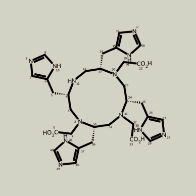 O=C(O)CN1C[C@H](Cc2cnc[nH]2)NC[C@H](Cc2cnc[nH]2)N(CC(=O)O)C[C@H](Cc2cnc[nH]2)N(CC(=O)O)C[C@@H]1Cc1cnc[nH]1